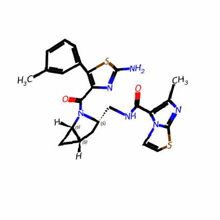 Cc1cccc(-c2sc(N)nc2C(=O)N2[C@H](CNC(=O)c3c(C)nc4sccn34)C[C@@H]3C[C@@H]32)c1